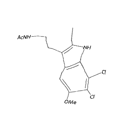 COc1cc2c(CCNC(C)=O)c(C)[nH]c2c(Cl)c1Cl